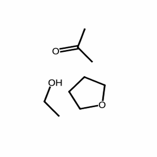 C1CCOC1.CC(C)=O.CCO